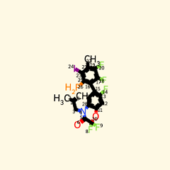 C=C(C)CN1C(=O)C(F)(F)Oc2cc(F)c(-c3c(F)c(F)c(C)c(I)c3P)cc21